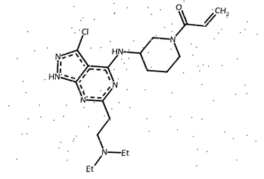 C=CC(=O)N1CCCC(Nc2nc(CCN(CC)CC)nc3[nH]nc(Cl)c23)C1